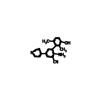 Cc1ccc(O)c(C)c1-c1cc(-c2ccncc2)cc(C#N)c1N